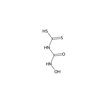 O=C(NO)NC(=S)S